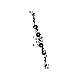 C=CC(=O)OCCCCOc1ccc(/C=C/c2ccc(NC(=O)C(=O)Nc3ccc(/N=C/c4ccc(OCCCCOC(=O)C=C)cn4)cc3C(F)(F)F)c(C)c2)nc1